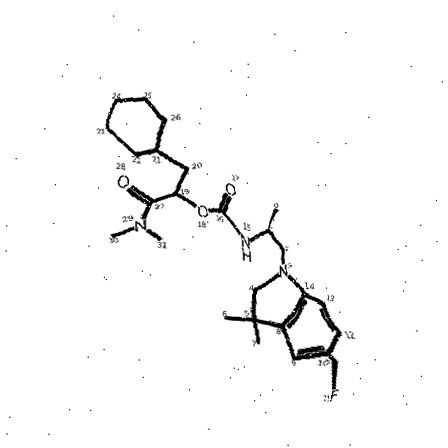 C[C@@H](CN1CC(C)(C)c2cc(F)ccc21)NC(=O)OC(CC1CCCCC1)C(=O)N(C)C